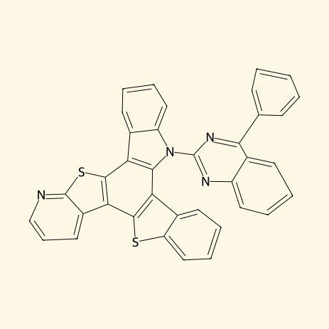 c1ccc(-c2nc(-n3c4ccccc4c4c5sc6ncccc6c5c5sc6ccccc6c5c43)nc3ccccc23)cc1